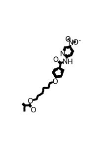 C=C(C)C(=O)OCCCCCCOc1ccc(C(=O)Nc2ccc([N+](=O)[O-])cn2)cc1